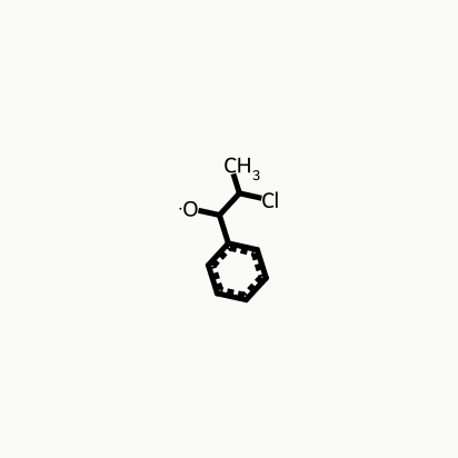 CC(Cl)C([O])c1ccccc1